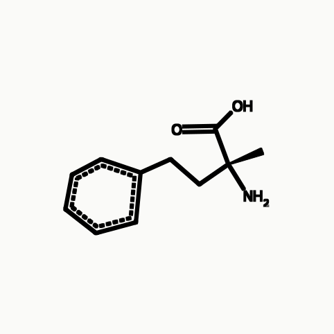 C[C@@](N)(CCc1ccccc1)C(=O)O